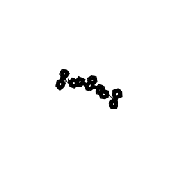 c1ccc2c(-c3ccc4cc(-n5c6ccccc6c6ccccc65)ccc4c3)ccc(-c3ccc4cc(-n5c6ccccc6c6ccccc65)ccc4c3)c2c1